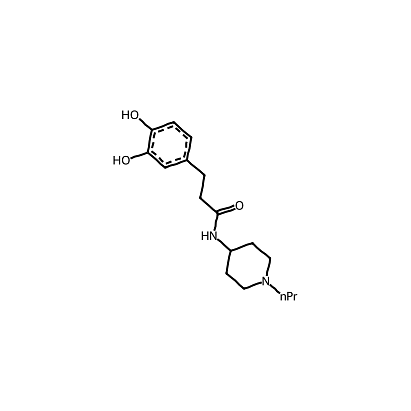 CCCN1CCC(NC(=O)CCc2ccc(O)c(O)c2)CC1